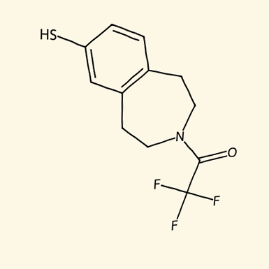 O=C(N1CCc2ccc(S)cc2CC1)C(F)(F)F